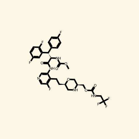 COC(=O)NC(C(=O)Nc1cncc(F)c1CC[C@@H]1CN[C@H](COC(=O)NCC(F)(F)F)CO1)[C@@H](c1ccc(F)cc1)c1cc(F)ccc1F